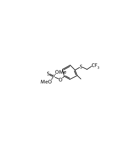 COP(=S)(OC)Oc1ccc(SCC(F)(F)F)c(C)c1